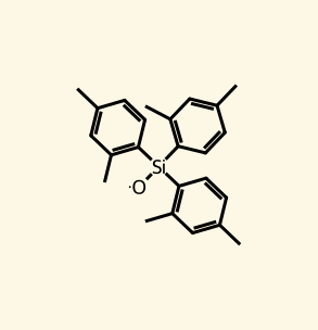 Cc1ccc([Si]([O])(c2ccc(C)cc2C)c2ccc(C)cc2C)c(C)c1